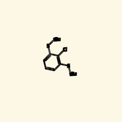 CC(C)(C)Sc1cccc(SC(C)(C)C)c1Cl